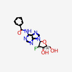 O=C(Nc1ncnc2c1ncn2C1O[C@H](CO)[C@@H](O)[C@H]1F)c1ccccc1